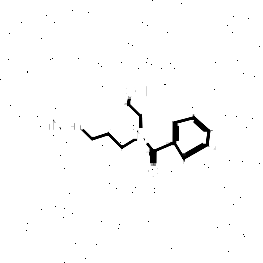 CCCCCCCCCCCCN(CCO)C(=O)c1ccccc1